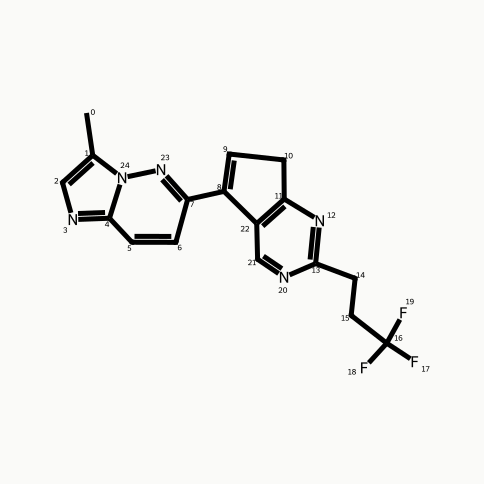 Cc1cnc2ccc(C3=CCc4nc(CCC(F)(F)F)ncc43)nn12